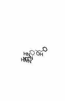 OC(CCc1ccccc1)C[C@H]1CC[C@@H](Nc2ncnc3[nH]ncc23)CC1